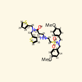 COc1ccc(CN(Cc2ccc(OC)cc2)S(=O)(=O)CCNCCC(=O)N(Cc2cccs2)Cc2cccs2)cc1